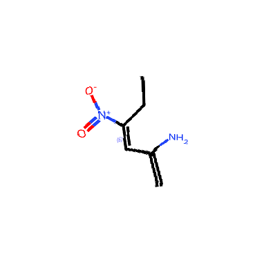 C=C(N)/C=C(\CC)[N+](=O)[O-]